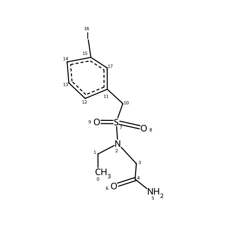 CCN(CC(N)=O)S(=O)(=O)Cc1cccc(I)c1